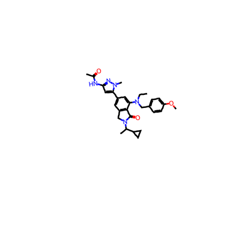 CCN(Cc1ccc(OC)cc1)c1cc(-c2cc(NC(C)=O)nn2C)cc2c1C(=O)N(C(C)C1CC1)C2